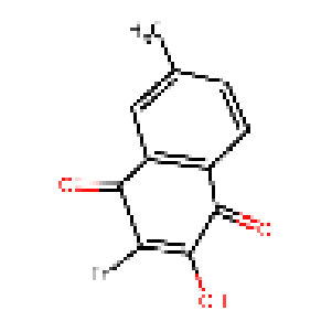 CCC1=C(O)C(=O)c2ccc(C)cc2C1=O